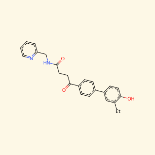 CCc1cc(-c2ccc(C(=O)CCC(=O)NCc3ccccn3)cc2)ccc1O